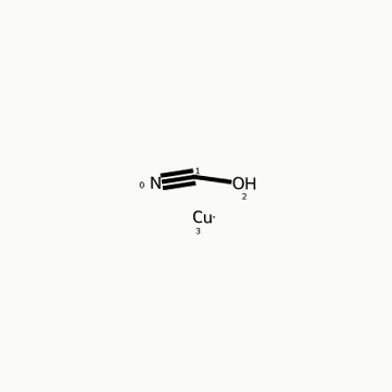 N#CO.[Cu]